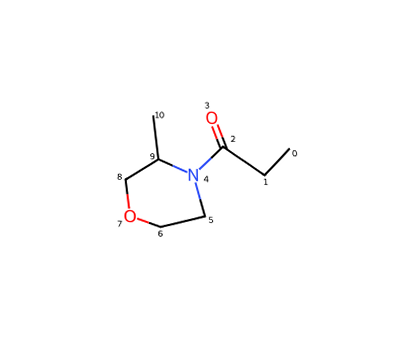 CCC(=O)N1CCOCC1C